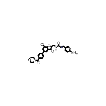 Nc1ccc(/C=C/C(=O)NCC2Oc3c(Cl)cc(-c4ccc(C(=O)N5CCOCC5)cc4)cc3C2=O)cn1